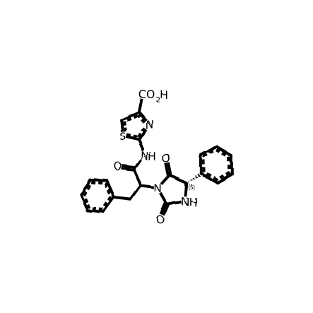 O=C(O)c1csc(NC(=O)C(Cc2ccccc2)N2C(=O)N[C@@H](c3ccccc3)C2=O)n1